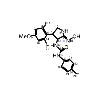 COc1cc(F)c(C2CN/C(=N\O)C2NC(=O)Nc2ccc(F)cc2)c(F)c1